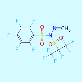 C=NN(S(=O)(=O)c1c(F)c(F)c(F)c(F)c1F)S(=O)(=O)C(F)(C(F)(F)F)C(F)(F)F